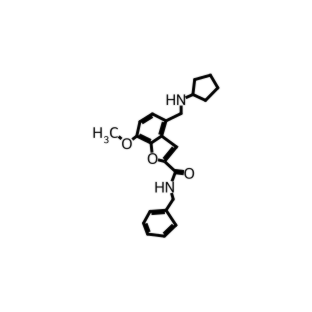 COc1ccc(CNC2CCCC2)c2cc(C(=O)NCc3ccccc3)oc12